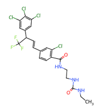 CCNC(=O)NCCNC(=O)c1ccc(/C=C/C(c2cc(Cl)c(Cl)c(Cl)c2)C(F)(F)F)cc1Cl